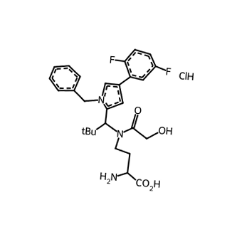 CC(C)(C)C(c1cc(-c2cc(F)ccc2F)cn1Cc1ccccc1)N(CCC(N)C(=O)O)C(=O)CO.Cl